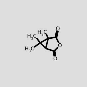 CC1(C)C2C(=O)OC(=O)C21C